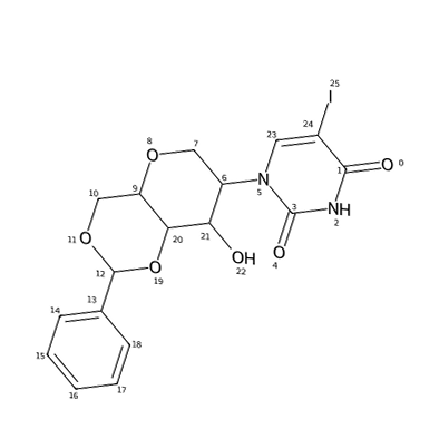 O=c1[nH]c(=O)n(C2COC3COC(c4ccccc4)OC3C2O)cc1I